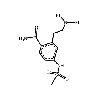 CCN(CC)CCc1cc(NS(C)(=O)=O)ccc1C(N)=O